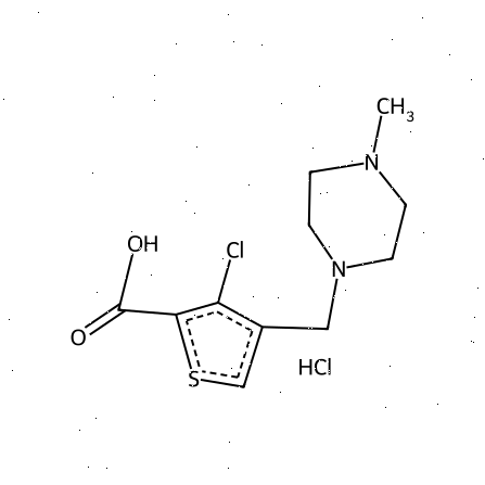 CN1CCN(Cc2csc(C(=O)O)c2Cl)CC1.Cl